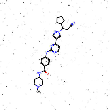 CN1CCC(NC(=O)c2ccc(Nc3nccc(-c4cnn(C(CC#N)C5CCCC5)c4)n3)cc2)CC1